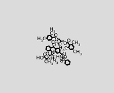 CC(Nc1ccccc1C(=O)c1ccc(C(=O)NS(=O)(=O)c2ccccc2)cc1)C(=O)N[C@@H](C)C(=O)O.Cc1cc(C)c(C(=O)OCC(=O)COC(=O)c2c(C)cc(C)cc2C)c(C)c1